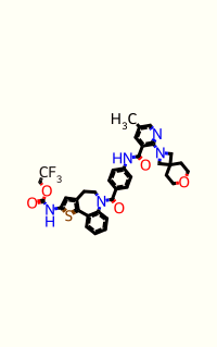 Cc1cnc(N2CC3(CCOCC3)C2)c(C(=O)Nc2ccc(C(=O)N3CCc4cc(NC(=O)OCC(F)(F)F)sc4-c4ccccc43)cc2)c1